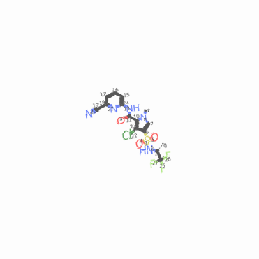 C[C@@H](NS(=O)(=O)c1cn(C)c(C(=O)Nc2cccc(C#N)n2)c1Cl)C(F)(F)F